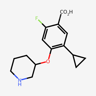 O=C(O)c1cc(C2CC2)c(OC2CCCNC2)cc1F